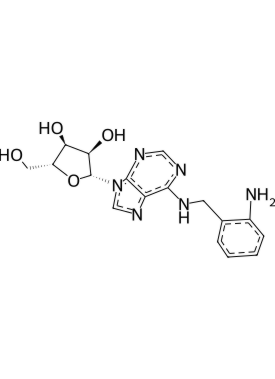 Nc1ccccc1CNc1ncnc2c1ncn2[C@@H]1O[C@H](CO)[C@@H](O)[C@H]1O